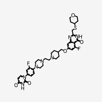 O=c1ccn(-c2ccc(N3CCN(CCN4CCC(COc5cc(F)c6c(=O)[nH]c(CSC7CCOCC7)nc6c5)CC4)CC3)c(F)c2)c(=O)[nH]1